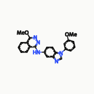 COc1cccc(-n2cnc3cc(Nc4nnc(OC)c5ccccc45)ccc32)c1